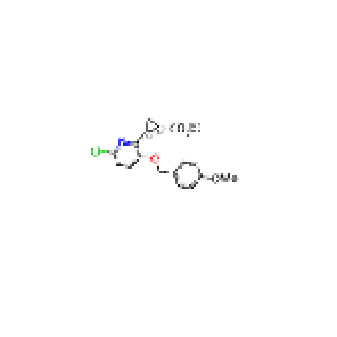 CCOC(=O)[C@H]1C[C@@H]1c1nc(Cl)ccc1OCc1ccc(OC)cc1